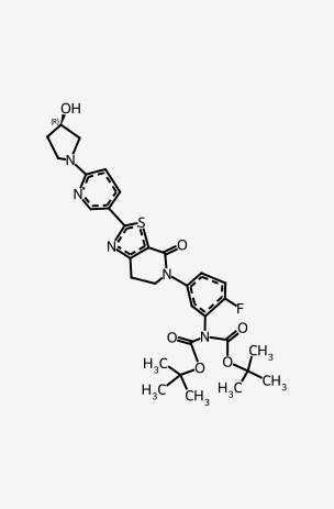 CC(C)(C)OC(=O)N(C(=O)OC(C)(C)C)c1cc(N2CCc3nc(-c4ccc(N5CC[C@@H](O)C5)nc4)sc3C2=O)ccc1F